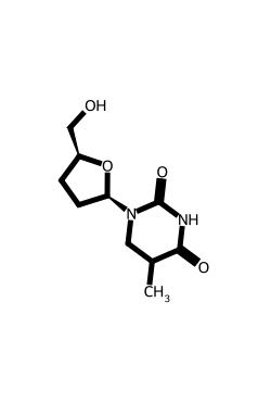 CC1CN([C@H]2CC[C@@H](CO)O2)C(=O)NC1=O